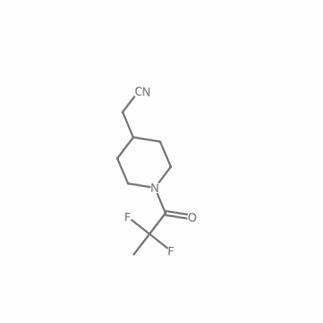 CC(F)(F)C(=O)N1CCC(CC#N)CC1